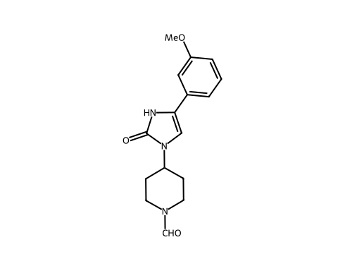 COc1cccc(-c2cn(C3CCN(C=O)CC3)c(=O)[nH]2)c1